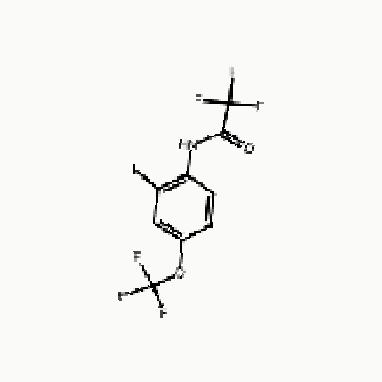 O=C(Nc1ccc(OC(F)(F)F)cc1I)C(F)(F)F